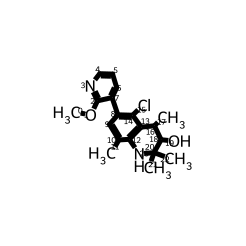 COc1ncccc1-c1cc(C)c2c(c1Cl)C(C)C(O)C(C)(C)N2